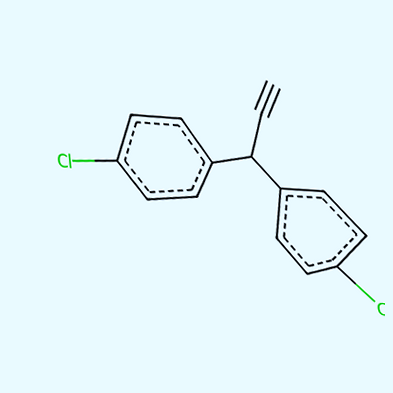 C#CC(c1ccc(Cl)cc1)c1ccc(Cl)cc1